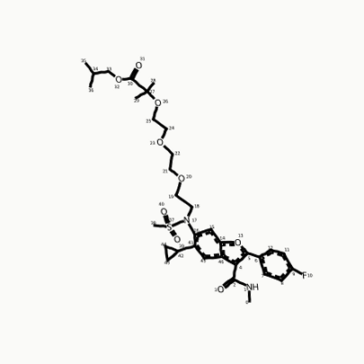 CNC(=O)c1c(-c2ccc(F)cc2)oc2cc(N(CCOCCOCCOC(C)(C)C(=O)OCC(C)C)S(C)(=O)=O)c(C3CC3)cc12